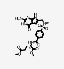 COC(=O)CC[C@H](NC(=O)c1ccc(S(=O)(=O)N(C)Cc2cc3c(=O)[nH]c(N)nc3[nH]2)cc1)C(=O)OC